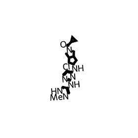 CN/C=C(\C=N)Nc1ncc(Cl)c(NC2CC3CN(C(=O)C4CC4)CC3C2)n1